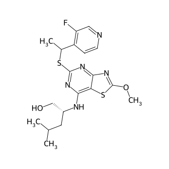 COc1nc2nc(SC(C)c3ccncc3F)nc(N[C@@H](CO)CC(C)C)c2s1